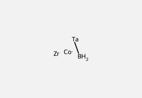 [BH2][Ta].[Co].[Zr]